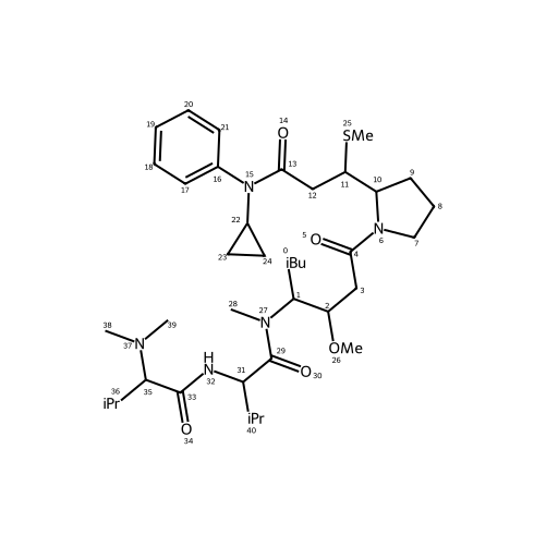 CCC(C)C(C(CC(=O)N1CCCC1C(CC(=O)N(c1ccccc1)C1CC1)SC)OC)N(C)C(=O)C(NC(=O)C(C(C)C)N(C)C)C(C)C